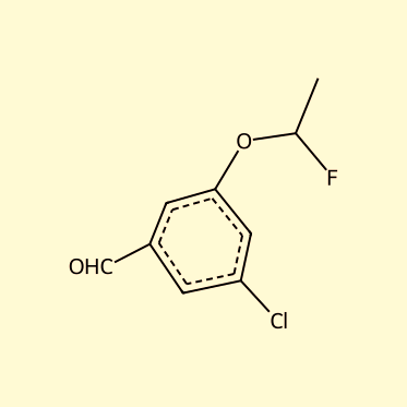 CC(F)Oc1cc(Cl)cc(C=O)c1